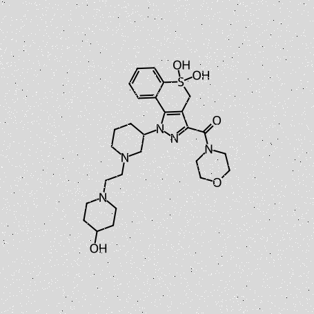 O=C(c1nn(C2CCCN(CCN3CCC(O)CC3)C2)c2c1CS(O)(O)c1ccccc1-2)N1CCOCC1